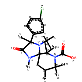 [2H]C1CC2(N([2H])C(=O)C([2H])(c3ccc(Cl)cc3)N2C(C)(C)C)C([2H])([2H])N(C(=O)O)C1([2H])[2H]